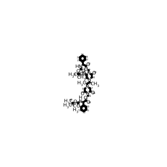 C[C@H]([C@H](C)N1CC(=O)N(COC(=O)[C@H](NC(=O)OC(C)(C)C)c2ccccc2)C(=O)C1)N1CC(=O)N(COC(=O)[C@H](NC(=O)OC(C)(C)C)c2ccccc2)C(=O)C1